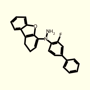 NN(C1=CCCc2c1oc1ccccc21)c1ccc(-c2ccccc2)cc1F